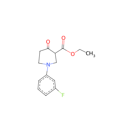 CCOC(=O)C1CN(c2cccc(F)c2)CCC1=O